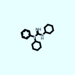 N=C(NC1CCCCC1)N(c1ccccc1)C1CCCCC1